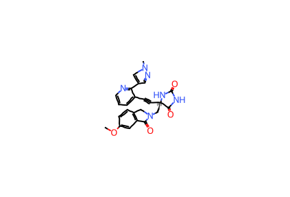 COc1ccc2c(c1)C(=O)N(C[C@@]1(C#Cc3cccnc3-c3cnn(C)c3)NC(=O)NC1=O)C2